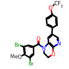 COc1c(Br)cc(C(=O)N2CCOc3ncc(-c4ccc(OC(F)(F)F)cc4)cc32)cc1Br